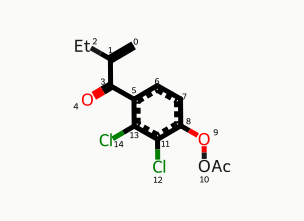 C=C(CC)C(=O)c1ccc(OOC(C)=O)c(Cl)c1Cl